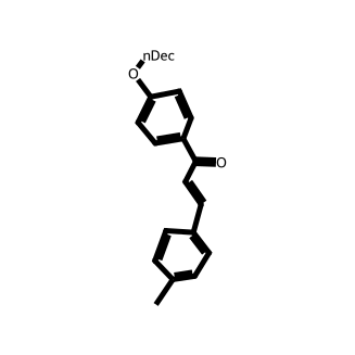 CCCCCCCCCCOc1ccc(C(=O)C=Cc2ccc(C)cc2)cc1